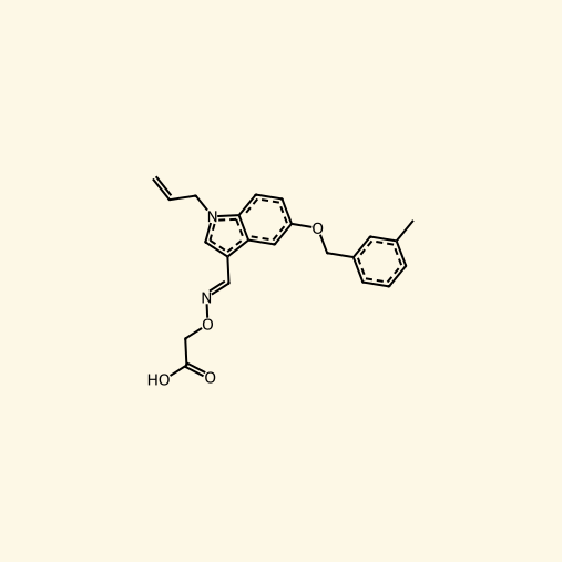 C=CCn1cc(C=NOCC(=O)O)c2cc(OCc3cccc(C)c3)ccc21